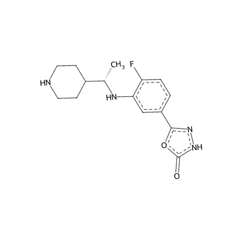 C[C@H](Nc1cc(-c2n[nH]c(=O)o2)ccc1F)C1CCNCC1